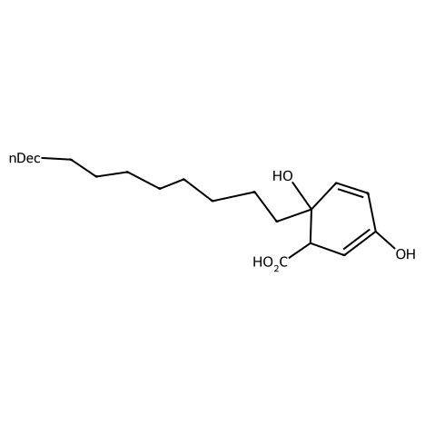 CCCCCCCCCCCCCCCCCCC1(O)C=CC(O)=CC1C(=O)O